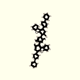 Cc1cc(-c2c(C)cc(-c3ccc(-c4ccccc4)cc3)c3oc4ccccc4c23)c(C)cc1-c1c(C)cc(-c2ccc(-c3ccccc3)cc2)c2c1oc1ccccc12